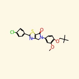 COc1cc(N2Cc3nc(-c4ccc(Cl)cc4)sc3C2=O)ccc1OCC(C)(C)C